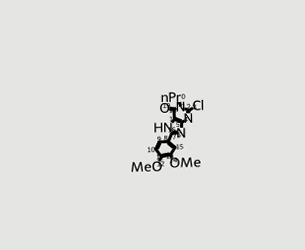 CCCn1c(Cl)nc2nc(-c3ccc(OC)c(OC)c3)[nH]c2c1=O